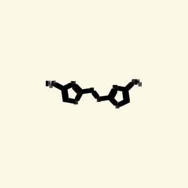 Cc1csc(SSc2nc(C)cs2)n1